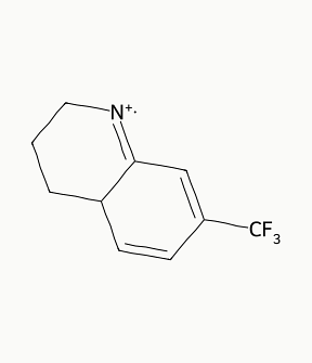 FC(F)(F)C1=CC2=[N+]CCCC2C=C1